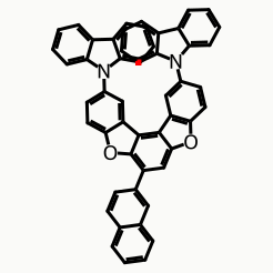 c1ccc2cc(-c3cc4oc5ccc(-n6c7ccccc7c7ccccc76)cc5c4c4c3oc3ccc(-n5c6ccccc6c6ccccc65)cc34)ccc2c1